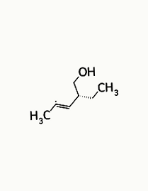 C/[C]=C/[C@@H](CC)CO